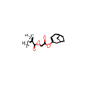 C=C(C)C(=O)OCC(=O)OC1=CCC2CCC(C1)C2